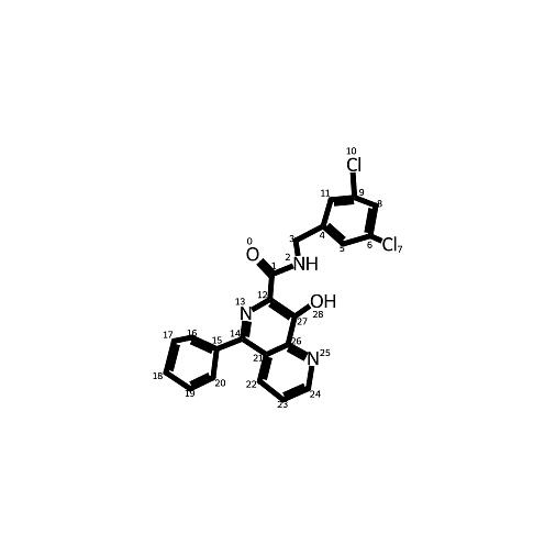 O=C(NCc1cc(Cl)cc(Cl)c1)c1nc(-c2ccccc2)c2cccnc2c1O